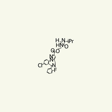 CC(C)[C@H](N)C(=O)NCCOC(=O)c1cc2n(n1)-c1ccc(Cl)cc1C(c1ccccc1F)=NC2